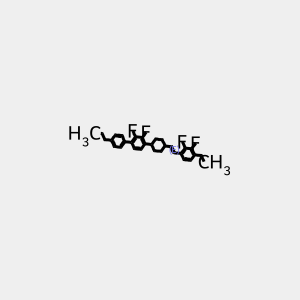 CCCc1ccc(-c2ccc(C3CCC(/C=C/c4ccc(CC)c(F)c4F)CC3)c(F)c2F)cc1